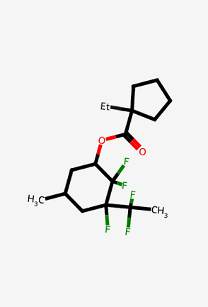 CCC1(C(=O)OC2CC(C)CC(F)(C(C)(F)F)C2(F)F)CCCC1